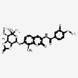 COc1ccc(C(=O)Nc2cc3ccc(O[C@@H]4OC(C)(C)[C@H](OC)[C@@H]5OC(=O)OC45)c(C)c3oc2=O)cc1I